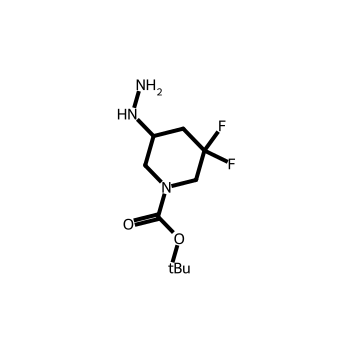 CC(C)(C)OC(=O)N1CC(NN)CC(F)(F)C1